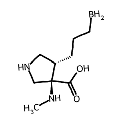 BCCC[C@H]1CNC[C@@]1(NC)C(=O)O